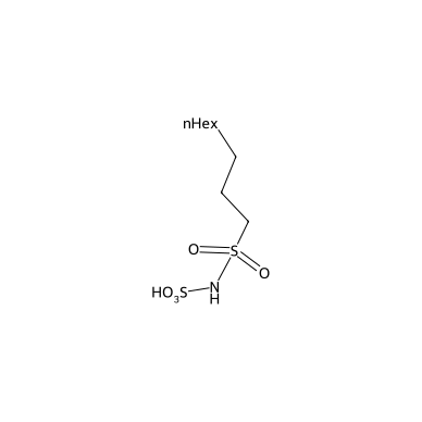 CCCCCCCCCS(=O)(=O)NS(=O)(=O)O